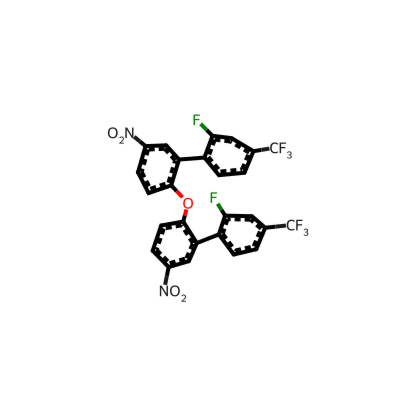 O=[N+]([O-])c1ccc(Oc2ccc([N+](=O)[O-])cc2-c2ccc(C(F)(F)F)cc2F)c(-c2ccc(C(F)(F)F)cc2F)c1